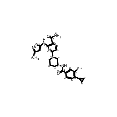 Cc1cc(Nc2nc(N3CCC[C@@H](NC(=O)c4ccc(C5CC5)c(F)c4)C3)cnc2C(N)=O)sn1